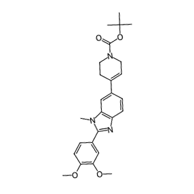 COc1ccc(-c2nc3ccc(C4=CCN(C(=O)OC(C)(C)C)CC4)cc3n2C)cc1OC